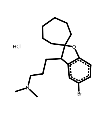 CN(C)CCCC1c2cc(Br)ccc2OC12CCCCCC2.Cl